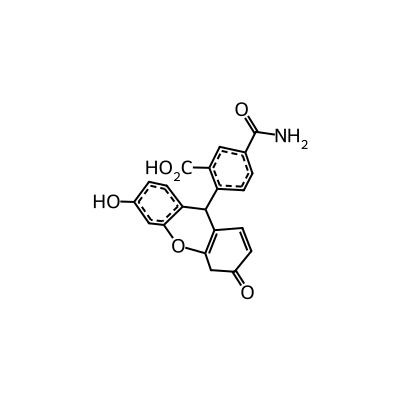 NC(=O)c1ccc(C2C3=C(CC(=O)C=C3)Oc3cc(O)ccc32)c(C(=O)O)c1